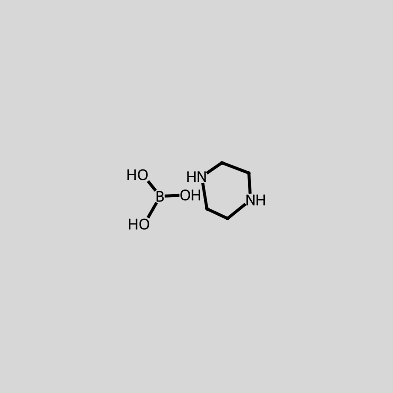 C1CNCCN1.OB(O)O